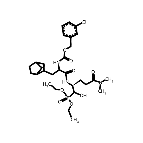 CCOP(=O)(OCC)C(O)[C@H](CCC(=O)N(C)C)NC(=O)C(CC1CC2CCC1C2)NC(=O)OCc1cccc(Cl)c1